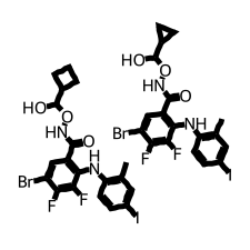 Cc1cc(I)ccc1Nc1c(C(=O)NOC(O)C2CC2)cc(Br)c(F)c1F.Cc1cc(I)ccc1Nc1c(C(=O)NOC(O)C2CCC2)cc(Br)c(F)c1F